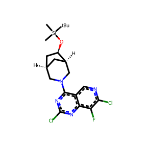 CC(C)(C)[Si](C)(C)O[C@@H]1C[C@H]2C[C@@H]1CN(c1nc(Cl)nc3c(F)c(Cl)ncc13)C2